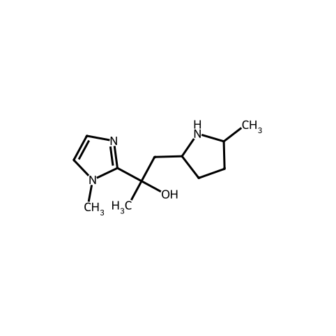 CC1CCC(CC(C)(O)c2nccn2C)N1